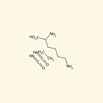 CC.N=C=O.N=C=O.NCCCCC(N)C(=O)O